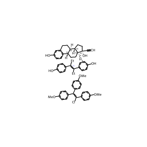 C#C[C@]1(O)CC[C@H]2[C@@H]3CCc4cc(O)ccc4[C@H]3CC[C@@]21C.CC/C(=C(/CC)c1ccc(O)cc1)c1ccc(O)cc1.COc1ccc(C(Cl)=C(c2ccc(OC)cc2)c2ccc(OC)cc2)cc1